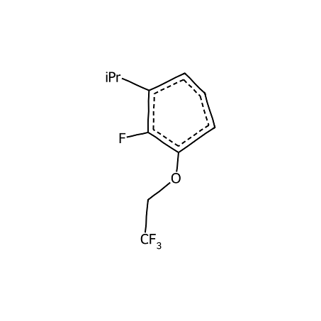 CC(C)c1cccc(OCC(F)(F)F)c1F